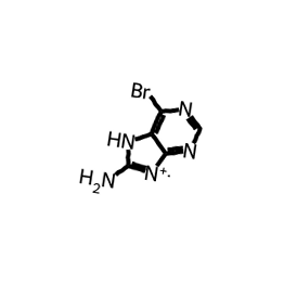 NC1=[N+]c2ncnc(Br)c2N1